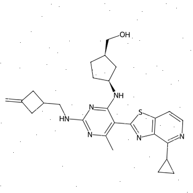 C=C1CC(CNc2nc(C)c(-c3nc4c(C5CC5)nccc4s3)c(N[C@H]3CC[C@@H](CO)C3)n2)C1